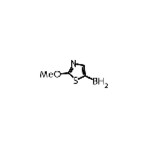 Bc1cnc(OC)s1